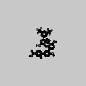 COC(=O)c1ccc(-c2ccc(OC)c(-c3cnc(SC)nc3CN3C(O)O[C@H](c4cc(C(F)(F)F)cc(C(F)(F)F)c4)C34CCC4)c2)c(C)c1